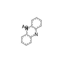 [Ag].c1ccc2nc3ccccc3nc2c1